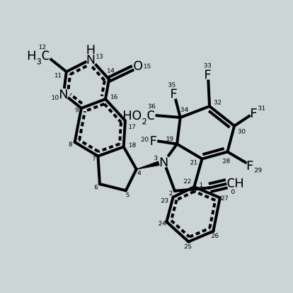 C#CCN([C@H]1CCc2cc3nc(C)[nH]c(=O)c3cc21)C1(F)C(c2ccccc2)=C(F)C(F)=C(F)C1(F)C(=O)O